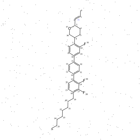 C/C=C/C1CCC(c2ccc(-c3ccc(-c4ccc(CCCCCCCC)c(F)c4F)cc3)cc2F)CO1